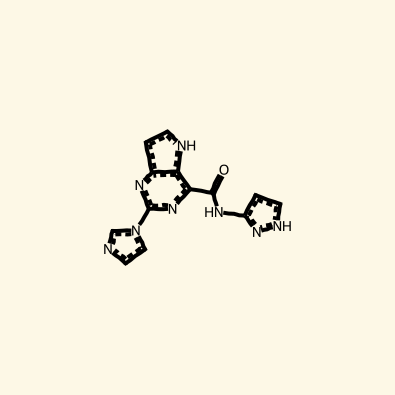 O=C(Nc1cc[nH]n1)c1nc(-n2ccnc2)nc2cc[nH]c12